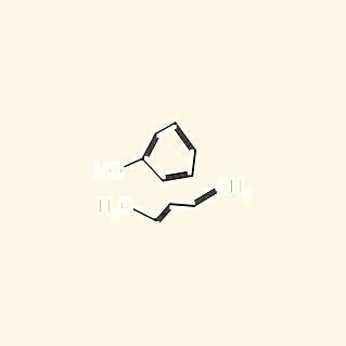 C=CC=CC.Oc1ccccc1